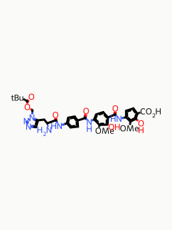 COc1c(NC(=O)c2ccc(NC(=O)c3ccc(NC(=O)[C@@H](N)Cc4cnnn4COC(=O)C(C)(C)C)cc3)c(OC)c2O)ccc(C(=O)O)c1O